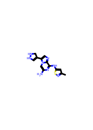 Cc1cc(Nc2nc(N)cn3c(C4=CNNC4)cnc23)sn1